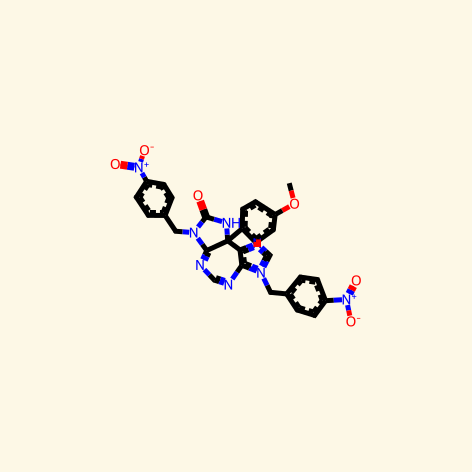 COc1ccc(C23NC(=O)N(Cc4ccc([N+](=O)[O-])cc4)C2=NC=Nc2c3ncn2Cc2ccc([N+](=O)[O-])cc2)cc1